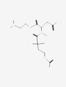 CN(C)CCNC(=O)C(CC(=O)C(C)(C)C)N(C)C(=O)C(C)(C)CCNC(=O)C(C)(C)C